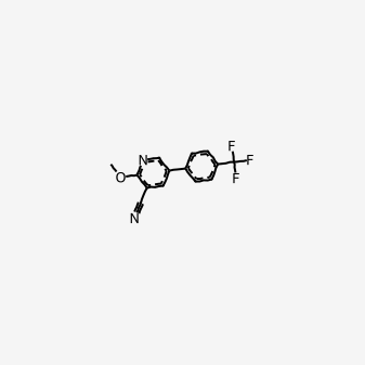 COc1ncc(-c2ccc(C(F)(F)F)cc2)cc1C#N